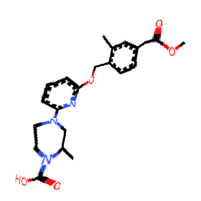 COC(=O)c1ccc(COc2cccc(N3CCN(C(=O)O)C(C)C3)n2)c(C)c1